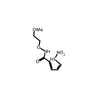 COCCONC(=O)C1=CC=C[SH]1[N+](=O)[O-]